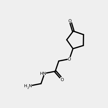 NCNC(=O)COC1CCC(=O)C1